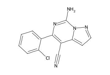 N#Cc1c(-c2ccccc2Cl)nc(N)n2nccc12